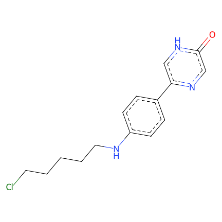 O=c1cnc(-c2ccc(NCCCCCCl)cc2)c[nH]1